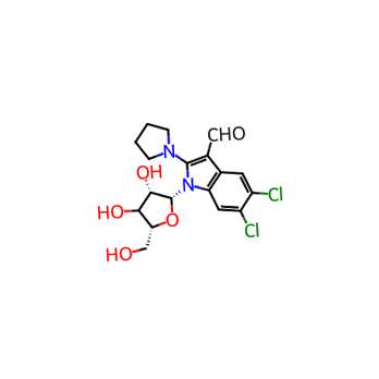 O=Cc1c(N2CCCC2)n([C@@H]2O[C@H](CO)C(O)[C@@H]2O)c2cc(Cl)c(Cl)cc12